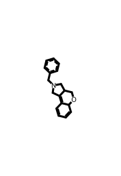 C1=CC2=C3CN(Cc4ccccc4)CC3COC2C=C1